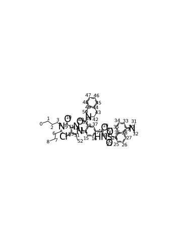 CCCCN(CCCC)C(=O)c1nn(-c2ccc(C(=O)NS(=O)(=O)c3cccc4c(N(C)C)cccc34)cc2C(=O)N2CCc3ccccc3C2)c(C)c1Cl